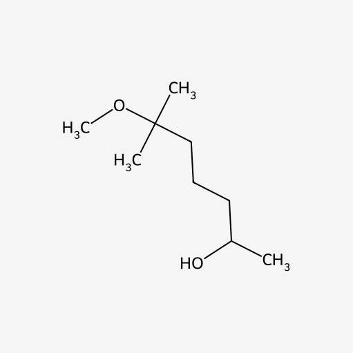 COC(C)(C)CCCC(C)O